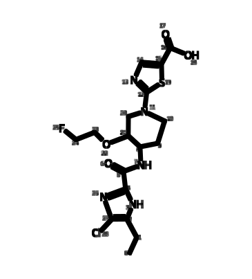 CCc1[nH]c(C(=O)NC2CCN(c3ncc(C(=O)O)s3)CC2OCCF)nc1Cl